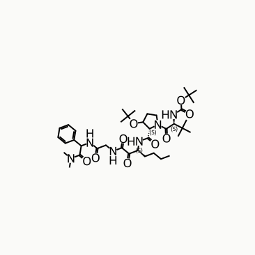 CCCC[C@H](NC(=O)[C@@H]1C(OC(C)(C)C)CCN1C(=O)[C@@H](NC(=O)OC(C)(C)C)C(C)(C)C)C(=O)C(=O)NCC(=O)NC(C(=O)N(C)C)c1ccccc1